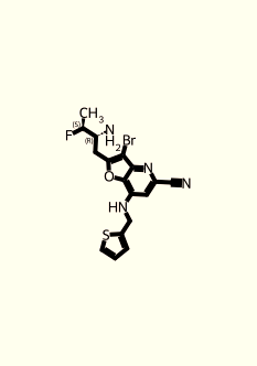 C[C@H](F)[C@H](N)Cc1oc2c(NCc3cccs3)cc(C#N)nc2c1Br